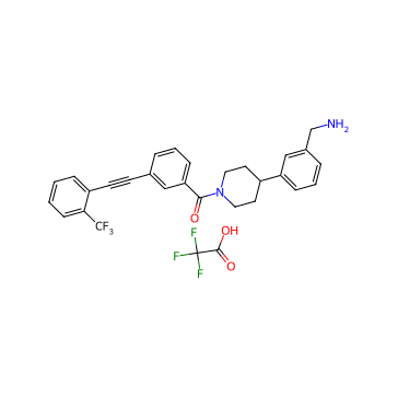 NCc1cccc(C2CCN(C(=O)c3cccc(C#Cc4ccccc4C(F)(F)F)c3)CC2)c1.O=C(O)C(F)(F)F